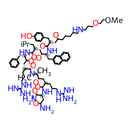 COCCOCCCNCCCCCC(=O)C[C@@H](Cc1ccc(O)cc1)C(=O)N[C@@H](Cc1ccc2ccccc2c1)C(=O)C[C@@H](CC(C)C)C(=O)N[C@@H](Cc1ccccc1)C(=O)C[C@@H](CCCNC(=N)N)C(=O)N(C)[C@@H](C)C(=O)C[C@@H](CCCNC(=N)N)C(=O)N[C@@H](CC(N)=O)C(N)=O